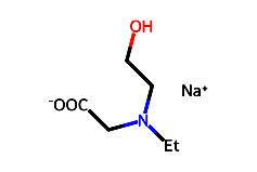 CCN(CCO)CC(=O)[O-].[Na+]